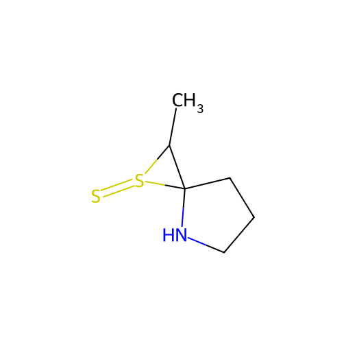 CC1S(=S)C12CCCN2